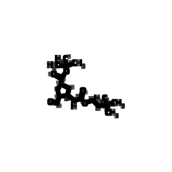 CC(C)(C)OC(=O)N1CC(C=O)C(NC(=O)OCC[Si](C)(C)C)C1